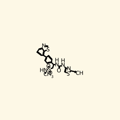 C#Cc1nc(NC(=O)NC(CS(=O)(=O)NC)c2ccc(-c3cccc4ncsc34)cc2)cs1